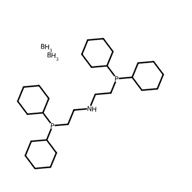 B.B.C1CCC(P(CCNCCP(C2CCCCC2)C2CCCCC2)C2CCCCC2)CC1